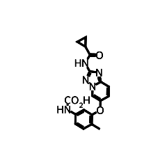 Cc1ccc(NC(=O)O)cc1Oc1ccc2nc(NC(=O)C3CC3)nn2c1